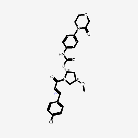 CO[C@@H]1C[C@@H](OC(=O)Nc2ccc(N3CCOCC3=O)cc2)N(C(=O)/C=C/c2ccc(Cl)cc2)C1